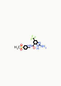 CS(=O)(=O)c1ccc(CNC(=O)c2cc(C(F)(F)F)cc3nc(N)[nH]c23)cc1